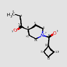 CCC(=O)C1CCN(C(=O)C2CCC2)CC1